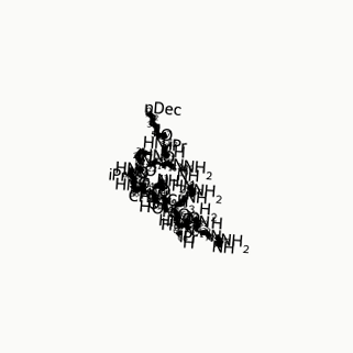 CCCCCCCCCCCCCCCC(=O)N[C@H](C(=O)N[C@@H](CCCNC(=N)N)C(=O)N1CCC[C@H]1C(=O)N[C@H](C(=O)N[C@@H](C)C(=O)N[C@@H](CC(N)=O)C(=O)N[C@@H](C)C(=O)N[C@@H](CCCNC(=N)N)C(=O)N[C@@H](CC(C)C)C(=O)N[C@@H](CCCNC(=N)N)C(N)=O)C(C)C)C(C)C